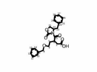 O=C(O)CC(CCOCc1ccccc1)C(=O)N1C(=O)OCC1Cc1ccccc1